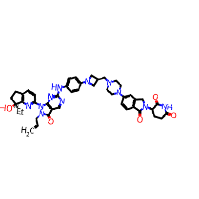 C=CCn1c(=O)c2cnc(Nc3ccc(N4CC(CN5CCN(c6ccc7c(c6)CN(C6CCC(=O)NC6=O)C7=O)CC5)C4)cc3)nc2n1-c1ccc2c(n1)[C@@](O)(CC)CC2